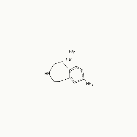 Br.Br.Nc1ccc2c(c1)CCNCC2